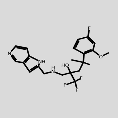 COc1cc(F)ccc1C(C)(C)CC(O)(CNCc1cc2cnccc2[nH]1)C(F)(F)F